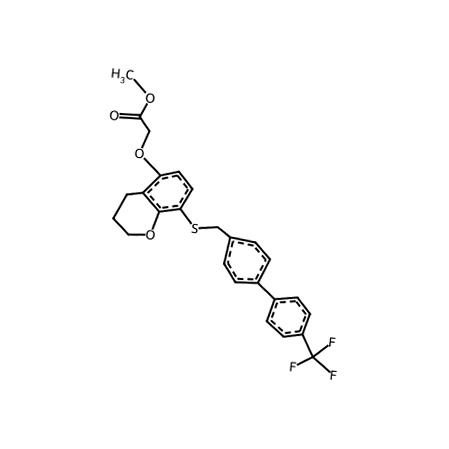 COC(=O)COc1ccc(SCc2ccc(-c3ccc(C(F)(F)F)cc3)cc2)c2c1CCCO2